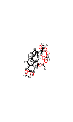 C#CC(OC(C)=O)[C@]12C[C@H](OC(C)=O)[C@H]3[C@@H](CC=C4CC5(CC[C@@]43C)OCCO5)[C@@H]1CC[C@@H]2C1(C)OCCO1